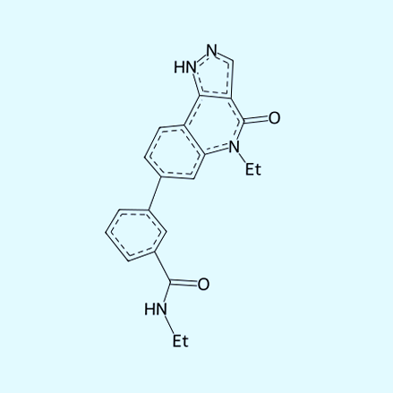 CCNC(=O)c1cccc(-c2ccc3c4[nH]ncc4c(=O)n(CC)c3c2)c1